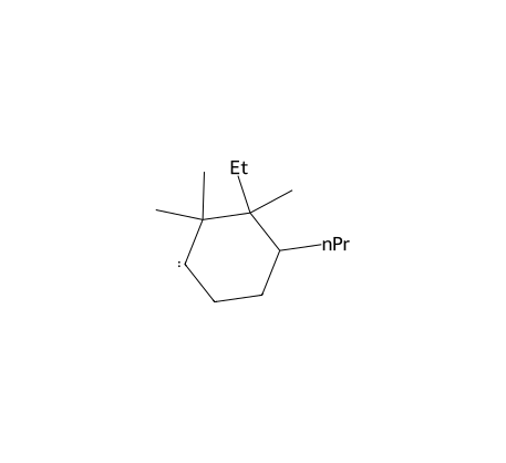 CCCC1CC[C]C(C)(C)C1(C)CC